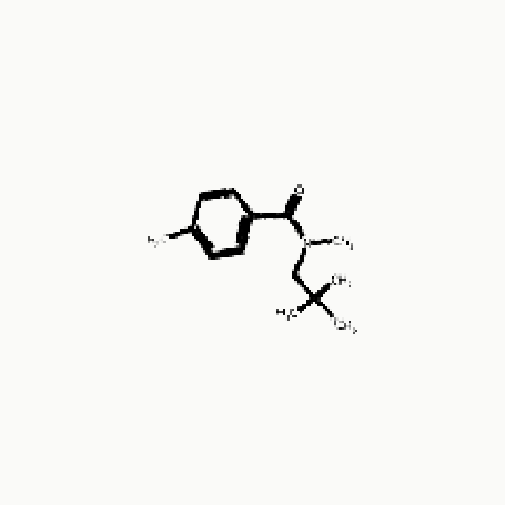 Cc1ccc(C(=O)N(C)CC(C)(C)C)cc1